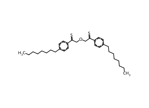 CCCCCCCCc1ccc(C(=S)COCC(=S)c2ccc(CCCCCCCC)cc2)cc1